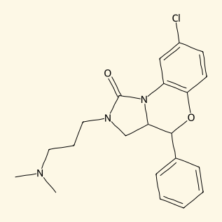 CN(C)CCCN1CC2C(c3ccccc3)Oc3ccc(Cl)cc3N2C1=O